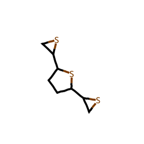 C1SC1C1CCC(C2CS2)S1